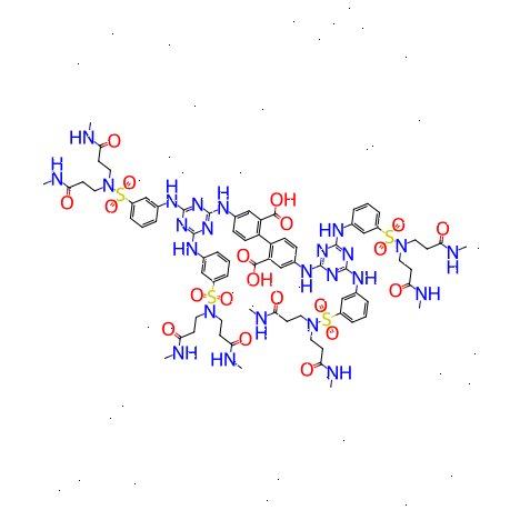 CNC(=O)CCN(CCC(=O)NC)S(=O)(=O)c1cccc(Nc2nc(Nc3cccc(S(=O)(=O)N(CCC(=O)NC)CCC(=O)NC)c3)nc(Nc3ccc(-c4ccc(Nc5nc(Nc6cccc(S(=O)(=O)N(CCC(=O)NC)CCC(=O)NC)c6)nc(Nc6cccc(S(=O)(=O)N(CCC(=O)NC)CCC(=O)NC)c6)n5)cc4C(=O)O)c(C(=O)O)c3)n2)c1